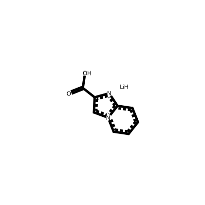 O=C(O)c1cn2ccccc2n1.[LiH]